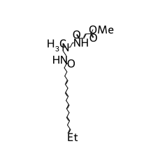 CCC=CCC=CCC=CCC=CCC=CCCCC(=O)NCCN(C)CCNC(=O)C=CC(=O)OC